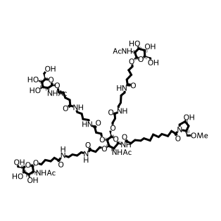 COC[C@@H]1C[C@@H](O)CN1C(=O)CCCCCCCCCCC(=O)N[C@@H]1O[C@H](COCCC(=O)NCCCCNC(=O)CCCCO[C@@H]2O[C@H](CO)[C@H](O)[C@H](O)[C@H]2NC(C)=O)[C@@H](OCCC(=O)NCCCCNC(=O)CCCCO[C@@H]2O[C@H](CO)[C@H](O)[C@H](O)[C@H]2NC(C)=O)[C@H](OCCC(=O)NCCCCNC(=O)CCCCO[C@@H]2O[C@H](CO)[C@H](O)[C@H](O)[C@H]2NC(C)=O)[C@H]1NC(C)=O